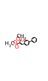 COC(=O)C(=Cc1ccc(-c2ccccc2)cc1)C(=O)OC